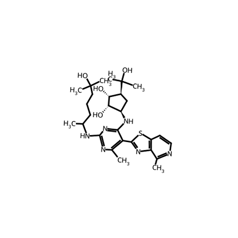 Cc1nc(NC(C)CCCC(C)(C)O)nc(N[C@@H]2C[C@H](C(C)(C)O)[C@@H](O)[C@H]2O)c1-c1nc2c(C)nccc2s1